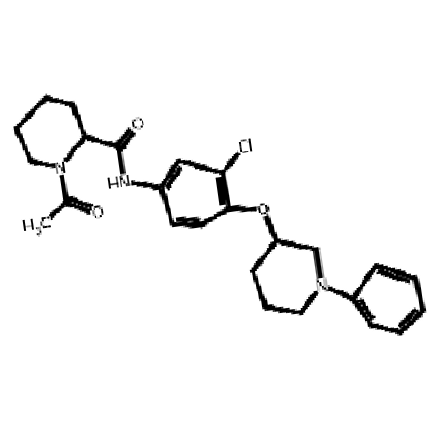 CC(=O)N1CCCCC1C(=O)Nc1ccc(OC2CCCN(c3ccccc3)C2)c(Cl)c1